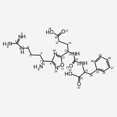 N=C(N)NCCCC(N)c1noc(C(CCC(=O)O)NC(=O)NC(Cc2ccccc2)C(=O)O)n1